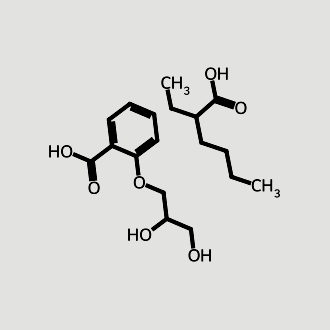 CCCCC(CC)C(=O)O.O=C(O)c1ccccc1OCC(O)CO